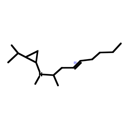 CCCC/C=C/CC(C)N(C)C1CC1C(C)C